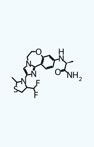 CC1SCC(C(F)F)N1c1cn2c(n1)-c1ccc(N[C@@H](C)C(N)=O)cc1OCC2